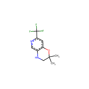 CC1(C)CNc2cnc(C(F)(F)F)cc2O1